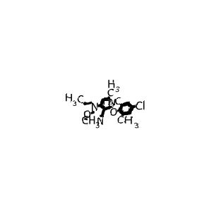 CCCN(COC)c1cc(C)nc(Oc2c(C)cc(Cl)cc2C)c1C#N